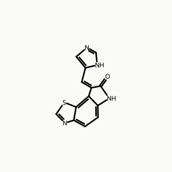 O=C1Nc2ccc3ncsc3c2/C1=C/c1cnc[nH]1